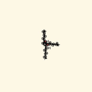 C=C(C)C(=O)OCCOC(=O)CCC(=O)OCC(O)CCC1CCC(=O)N(CC(O)COC(=O)CCC(=O)OCCOC(=O)C(=C)C)C(=O)N(CC(O)COC(=O)CCC(=O)OCCOC(=O)C(=C)C)C1=O